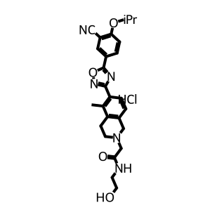 Cc1c(-c2noc(-c3ccc(OC(C)C)c(C#N)c3)n2)ccc2c1CCN(CC(=O)NCCO)C2.Cl